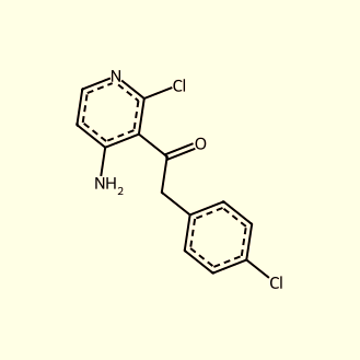 Nc1ccnc(Cl)c1C(=O)Cc1ccc(Cl)cc1